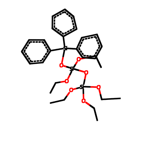 CCO[Si](OCC)(OCC)O[Si](OCC)(OCC)O[Si](c1ccccc1)(c1ccccc1)c1ccccc1